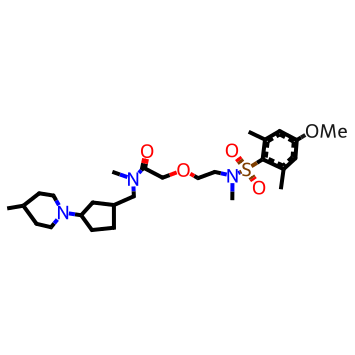 COc1cc(C)c(S(=O)(=O)N(C)CCOCC(=O)N(C)CC2CCC(N3CCC(C)CC3)C2)c(C)c1